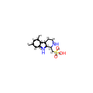 Cc1cc(C)c2c3c([nH]c2c1)C(CS(=O)(=O)O)NCC3